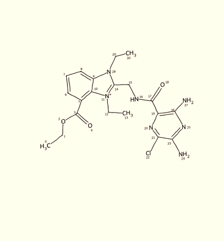 CCOC(=O)c1cccc2c1[n+](CC)c(CNC(=O)c1nc(Cl)c(N)nc1N)n2CC